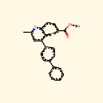 Cc1cc(-c2ccc(-c3ccccc3)cc2)c2cc(C(=O)OC(C)(C)C)ccc2n1